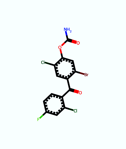 NC(=O)Oc1cc(Br)c(C(=O)c2ccc(F)cc2Cl)cc1Cl